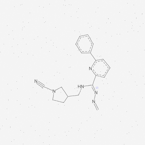 C=N/N=C(\NCC1CCN(C#N)C1)c1cccc(-c2ccccc2)n1